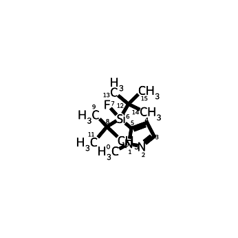 Cn1nccc1[Si](F)(C(C)(C)C)C(C)(C)C